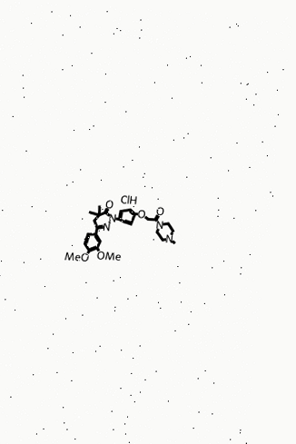 COc1ccc(C2=NN(c3ccc(OCC(=O)N4CCN(C)CC4)cc3)C(=O)C(C)(C)C2)cc1OC.Cl